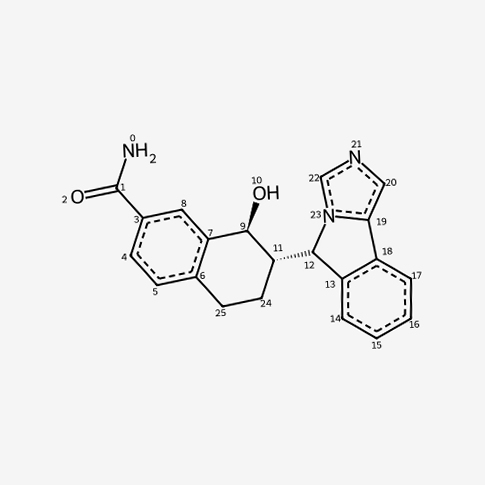 NC(=O)c1ccc2c(c1)[C@@H](O)[C@H](C1c3ccccc3-c3cncn31)CC2